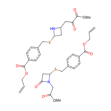 C=CCOC(=O)c1ccc(CSC2CC(=O)N2CC(=O)OC)cc1.C=CCOC(=O)c1ccc(CSC2CC(CC(=O)C(=O)OC)N2)cc1